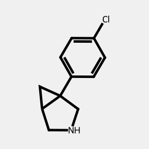 Clc1ccc(C23CNCC2C3)cc1